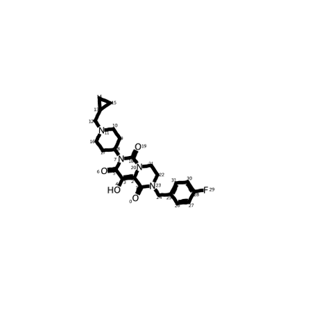 O=C1c2c(O)c(=O)n(C3CCN(CC4CC4)CC3)c(=O)n2CCN1Cc1ccc(F)cc1